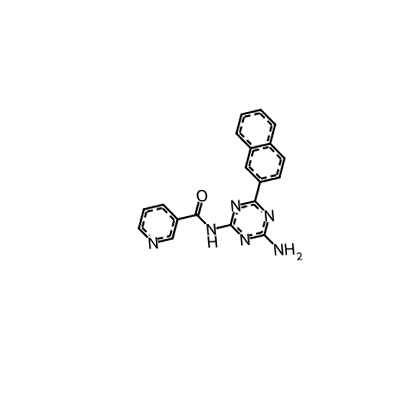 Nc1nc(NC(=O)c2cccnc2)nc(-c2ccc3ccccc3c2)n1